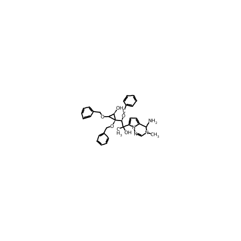 CN1C=Nn2c(ccc2C(C)(O)[C@H](OCc2ccccc2)[C@]2(OCc3ccccc3)C(OCc3ccccc3)[C@H]2O)C1N